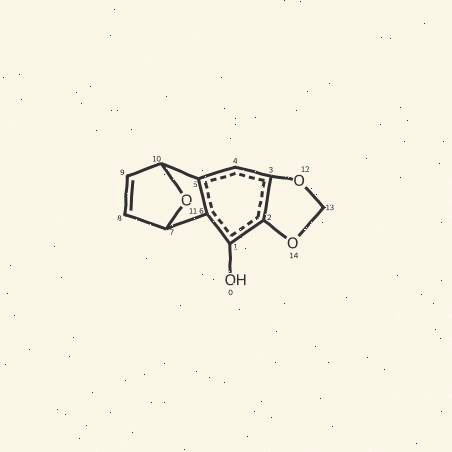 Oc1c2c(cc3c1C1C=CC3O1)OCO2